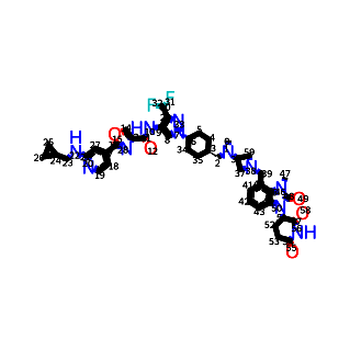 CN(C[C@H]1CC[C@H](n2cc(NC(=O)c3coc(-c4ccnc(NCC5CC5)c4)n3)c(C(F)F)n2)CC1)C1CN(Cc2cccc3c2n(C)c(=O)n3C2CCC(=O)NC2=O)C1